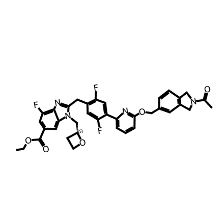 CCOC(=O)c1cc(F)c2nc(Cc3cc(F)c(-c4cccc(OCc5ccc6c(c5)CN(C(C)=O)C6)n4)cc3F)n(C[C@@H]3CCO3)c2c1